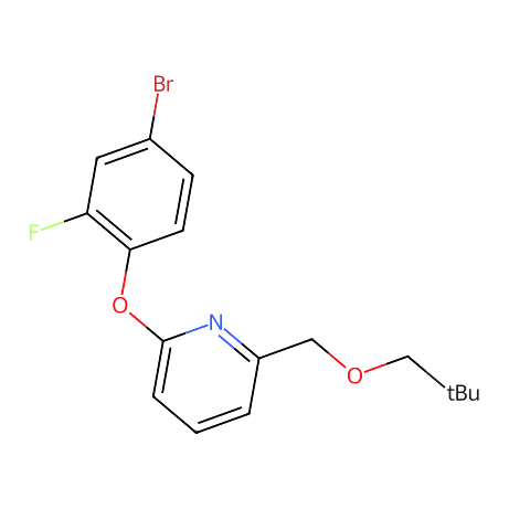 CC(C)(C)COCc1cccc(Oc2ccc(Br)cc2F)n1